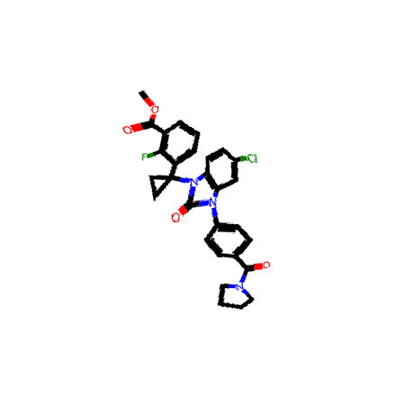 COC(=O)c1cccc(C2(n3c(=O)n(-c4ccc(C(=O)N5CCCC5)cc4)c4cc(Cl)ccc43)CC2)c1F